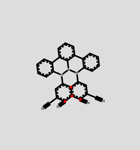 N#Cc1cc(C#N)cc(N2B3c4c(cccc4-c4ccccc4N3c3cc(C#N)cc(C#N)c3)-c3ccccc32)c1